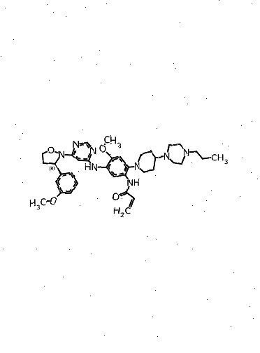 C=CC(=O)Nc1cc(Nc2cc(N3OCC[C@@H]3c3cccc(OC)c3)ncn2)c(OC)cc1N1CCC(N2CCN(CCC)CC2)CC1